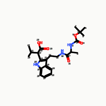 CC(NC(=O)OC(C)(C)C)C(=O)NCCc1c(C(C(=O)O)C(C)C)[nH]c2ccccc12